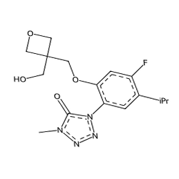 CC(C)c1cc(-n2nnn(C)c2=O)c(OCC2(CO)COC2)cc1F